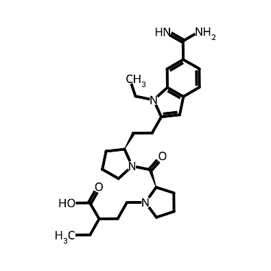 CCC(CCN1CCC[C@@H]1C(=O)N1CCC[C@H]1CCc1cc2ccc(C(=N)N)cc2n1CC)C(=O)O